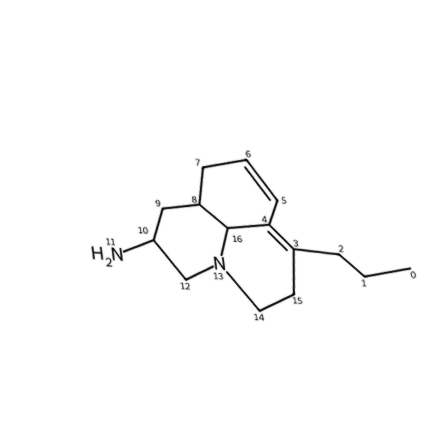 CCCC1=C2C=CCC3CC(N)CN(CC1)C23